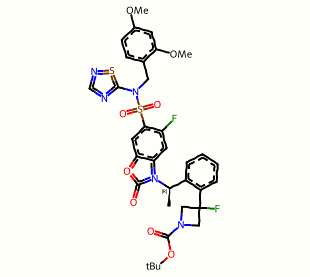 COc1ccc(CN(c2ncns2)S(=O)(=O)c2cc3oc(=O)n([C@H](C)c4ccccc4C4(F)CN(C(=O)OC(C)(C)C)C4)c3cc2F)c(OC)c1